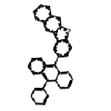 C1=CCC2C(=C1)C(c1ccc3oc4cc5ccccc5cc4c3c1)=c1ccccc1=C2C1=CCCC=C1